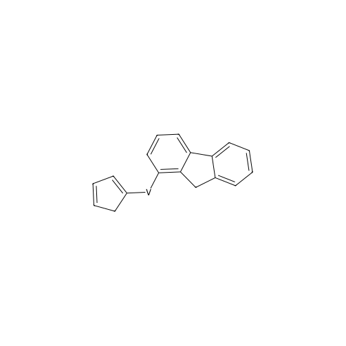 C1=CC[C]([V][c]2cccc3c2Cc2ccccc2-3)=C1